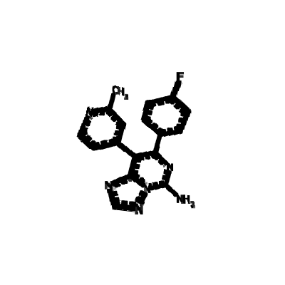 Cc1cc(-c2c(-c3ccc(F)cc3)nc(N)n3ncnc23)ccn1